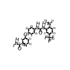 CNC(=O)c1cc(Oc2ccc(NC(=O)Nc3cc(C(F)(F)F)ccc3N(C)C)cc2)ccn1